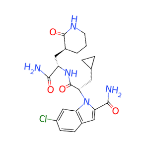 NC(=O)c1cc2ccc(Cl)cc2n1[C@@H](CC1CC1)C(=O)N[C@@H](C[C@@H]1CCCNC1=O)C(N)=O